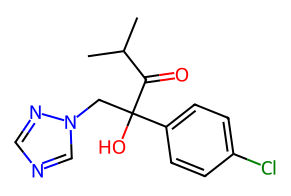 CC(C)C(=O)C(O)(Cn1cncn1)c1ccc(Cl)cc1